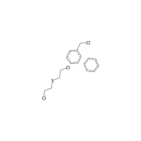 ClCCSCCCl.ClCc1ccccc1.c1ccccc1